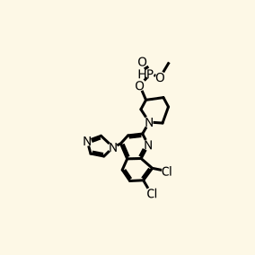 CO[PH](=O)OC1CCCN(c2cc(-n3ccnc3)c3ccc(Cl)c(Cl)c3n2)C1